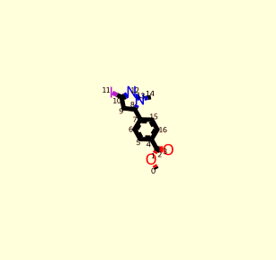 COC(=O)c1ccc(C2CC(I)=NN2C)cc1